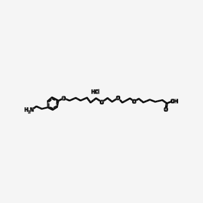 Cl.NCCc1ccc(OCCCCCCOCCOCCOCCCCCC(=O)O)cc1